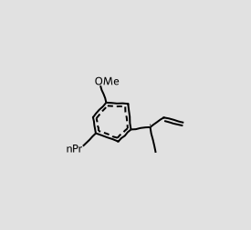 C=C[C](C)c1cc(CCC)cc(OC)c1